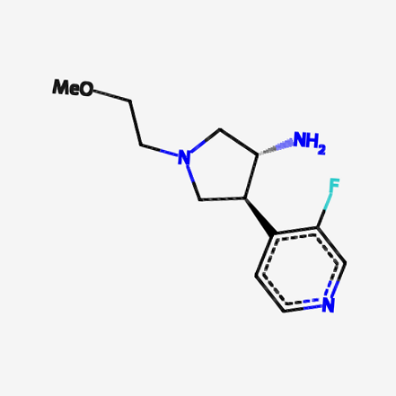 COCCN1C[C@H](c2ccncc2F)[C@@H](N)C1